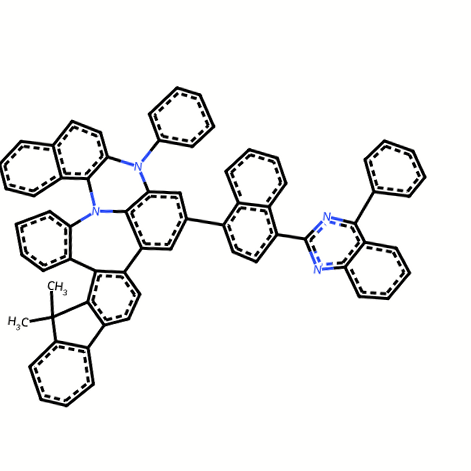 CC1(C)c2ccccc2-c2ccc3c(c21)-c1ccccc1N1c2c-3cc(-c3ccc(-c4nc(-c5ccccc5)c5ccccc5n4)c4ccccc34)cc2N(c2ccccc2)c2ccc3ccccc3c21